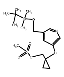 CC(C)(C)[Si](C)(C)OCc1cncc(OC2(COS(C)(=O)=O)CC2)c1